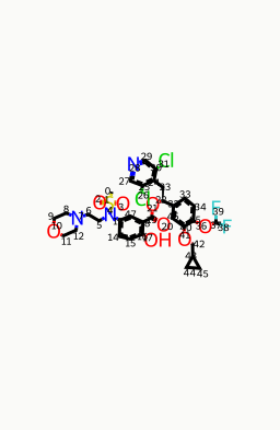 CS(=O)(=O)N(CCN1CCOCC1)c1ccc(O)c(C(=O)O[C@@H](Cc2c(Cl)cncc2Cl)c2ccc(OC(F)F)c(OCC3CC3)c2)c1